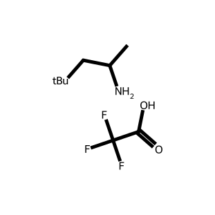 CC(N)CC(C)(C)C.O=C(O)C(F)(F)F